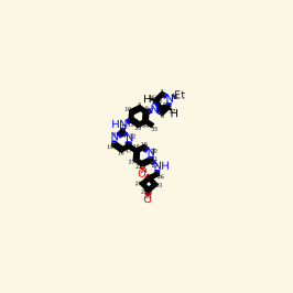 CCN1C[C@@H]2C[C@H]1CN2c1ccc(Nc2nccc(-c3cnc4c(c3)OC3(CN4)CC(=O)C3)n2)cc1C